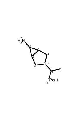 CCCCCC(C)N1CC2C(N)C2C1